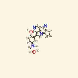 COc1ncc(C#N)c2c1c(-c1cccc(N3CCOCC3)c1)cn2C1CCCC1